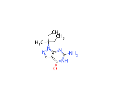 CCC(C)(CC)n1ncc2c(=O)[nH]c(N)nc21